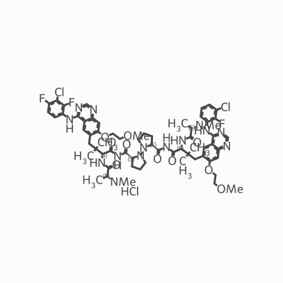 CN[C@@H](C)C(=O)N[C@H](C(=O)NC(=O)[C@@H]1CCCN1N1CCC[C@H]1C(=O)NC(=O)[C@@H](NC(=O)[C@H](C)NC)C(C)(C)Cc1cc2c(Nc3ccc(F)c(Cl)c3F)ncnc2cc1OCCOC)C(C)(C)Cc1cc2c(Nc3cccc(Cl)c3F)ncnc2cc1OCCOC.Cl